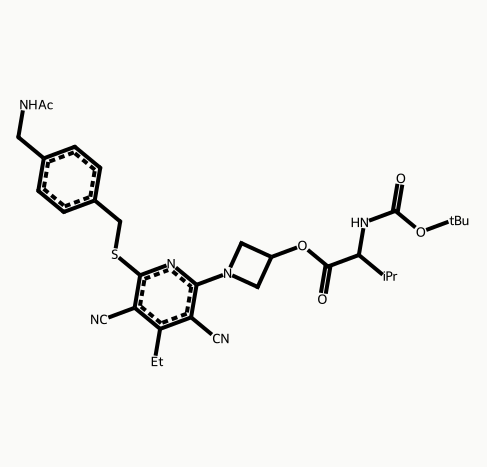 CCc1c(C#N)c(SCc2ccc(CNC(C)=O)cc2)nc(N2CC(OC(=O)C(NC(=O)OC(C)(C)C)C(C)C)C2)c1C#N